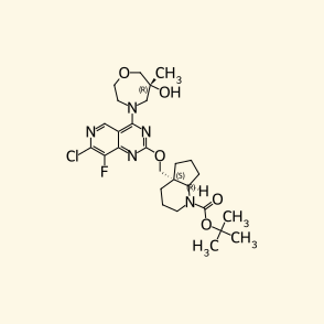 CC(C)(C)OC(=O)N1CCC[C@@]2(COc3nc(N4CCOC[C@](C)(O)C4)c4cnc(Cl)c(F)c4n3)CCC[C@@H]12